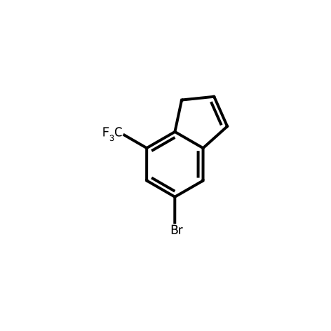 FC(F)(F)c1cc(Br)cc2c1CC=C2